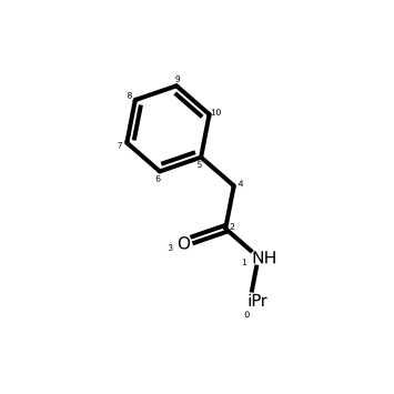 CC(C)NC(=O)Cc1ccccc1